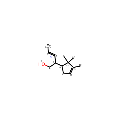 CC/C=C/C(CO)C1CC=C(C)C1(C)C